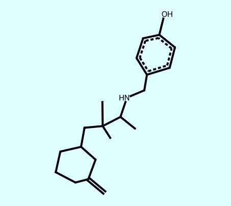 C=C1CCCC(CC(C)(C)C(C)NCc2ccc(O)cc2)C1